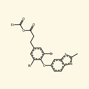 CCC(=O)OC(=O)CCc1cc(Br)c(Oc2ccc3nc(C)sc3c2)c(Br)c1